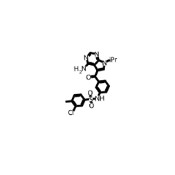 Cc1ccc(S(=O)(=O)Nc2cccc(C(=O)c3cn(C(C)C)c4ncnc(N)c34)c2)cc1Cl